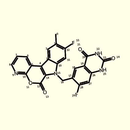 Cc1cc2c3c4cccnc4oc(=O)c3n(Cc3cc4c(=O)[nH]c(=O)[nH]c4cc3F)c2cc1F